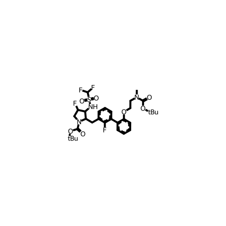 CN(CCOc1ccccc1-c1cccc(CC2C(NS(=O)(=O)C(F)F)C(F)CN2C(=O)OC(C)(C)C)c1F)C(=O)OC(C)(C)C